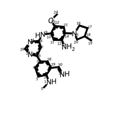 CNc1ccc(-c2cc(Nc3cc(N)c(N4CCC(C)C4)cc3OC)ncn2)cc1C=N